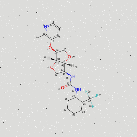 Cc1ncccc1O[C@H]1CO[C@H]2[C@@H]1OC[C@@H]2NC(=O)NC1CCCCC1C(F)(F)F